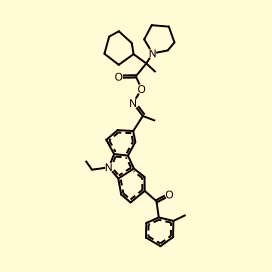 CCn1c2ccc(C(=O)c3ccccc3C)cc2c2cc(/C(C)=N/OC(=O)C(C)(C3CCCCC3)N3CCCCC3)ccc21